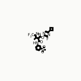 Cc1c(C(F)(F)F)nnc(Oc2ncc(C3CCC3)nc2F)c1C(=O)Nc1cccc(S(C)(=O)=O)c1